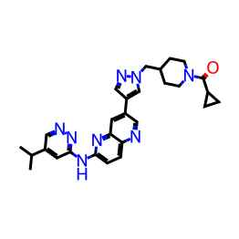 CC(C)c1cnnc(Nc2ccc3ncc(-c4cnn(CC5CCN(C(=O)C6CC6)CC5)c4)cc3n2)c1